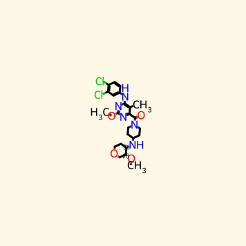 COc1nc(Nc2ccc(Cl)c(Cl)c2)c(C)c(C(=O)N2CCC(N[C@@H]3CCOC[C@@H]3OC)CC2)n1